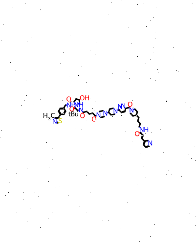 Cc1ncsc1-c1ccc(CNC(=O)[C@@H]2C[C@@H](O)CN2C(=O)[C@@H](NC(=O)CCCC(=O)N2CCN(C3CCN(c4ccc(C(=O)N5CCC(CCCCNC(=O)/C=C/c6cccnc6)CC5)nn4)CC3)CC2)C(C)(C)C)cc1